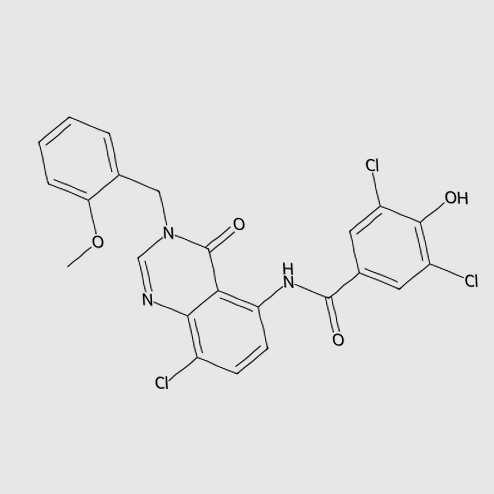 COc1ccccc1Cn1cnc2c(Cl)ccc(NC(=O)c3cc(Cl)c(O)c(Cl)c3)c2c1=O